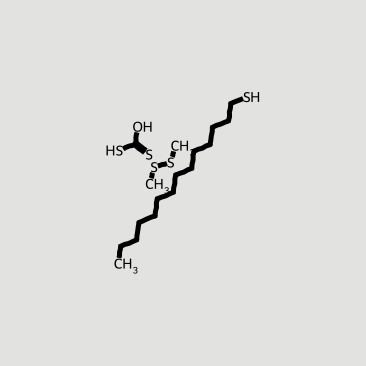 CCCCCCCCCCCCCCS.CSSC.OC(=S)S